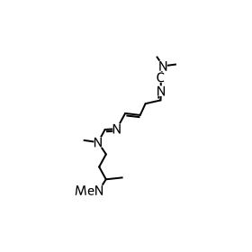 CNC(C)CCN(C)/C=N/C=C/C/C=N\CN(C)C